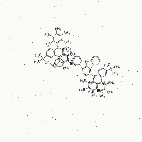 Bc1c(B)c(B)c(-c2cc(C(C)(C)C)ccc2N(c2c(B)c(B)c(B)c(B)c2B)c2ccc3c4cc5c(cc4n4c6ccccc6c2c34)c2ccc(N(c3ccc(C(C)(C)C)cc3-c3c(B)c(B)c(B)c(B)c3B)c3c(B)c(B)c(B)c(B)c3B)c3c4ccccc4n5c23)c(B)c1B